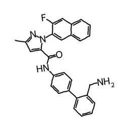 Cc1cc(C(=O)Nc2ccc(-c3ccccc3CN)cc2)n(-c2cc3ccccc3cc2F)n1